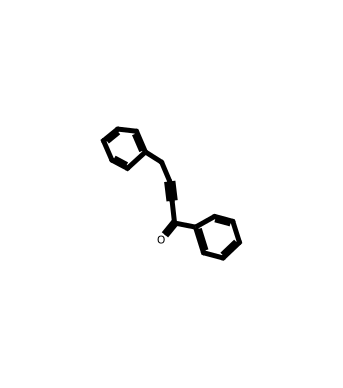 O=C(C#CCc1ccccc1)c1ccccc1